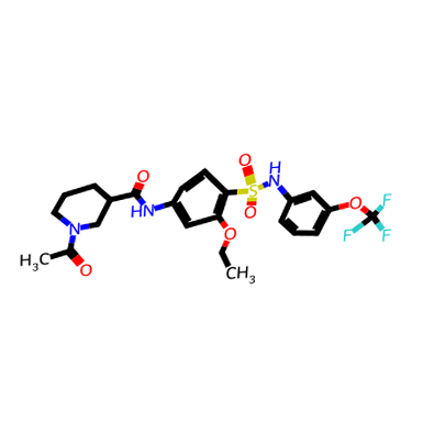 CCOc1cc(NC(=O)C2CCCN(C(C)=O)C2)ccc1S(=O)(=O)Nc1cccc(OC(F)(F)F)c1